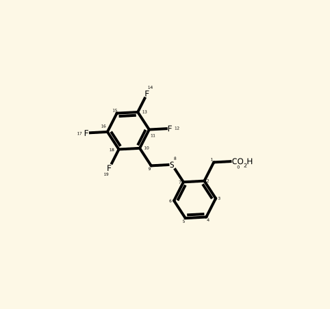 O=C(O)Cc1ccccc1SCc1c(F)c(F)cc(F)c1F